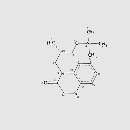 C[C@H](CO[Si](C)(C)C(C)(C)C)CN1C(=O)CSc2ccccc21